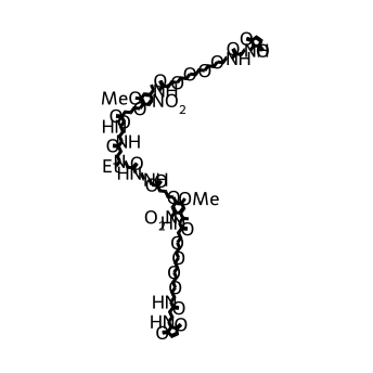 CCN(CCC(=O)NCCNOC(=O)CCCOc1cc([N+](=O)[O-])c(C(C)NC(=O)CCOCCOCCOCCOCCNC(=O)CCNC2C(=O)C=CC2=O)cc1OC)CCC(=O)NCCNOC(=O)CCCOc1cc([N+](=O)[O-])c(C(C)NC(=O)CCOCCOCCOCCOCCNC(=O)CCNC2C(=O)C=CC2=O)cc1OC